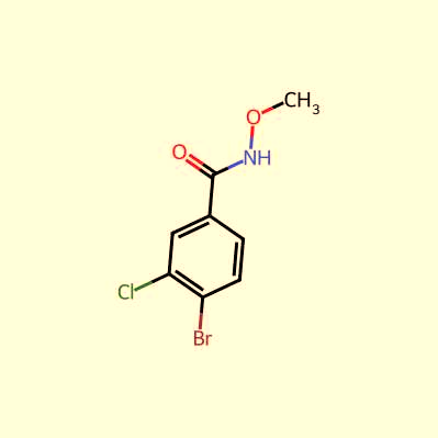 CONC(=O)c1ccc(Br)c(Cl)c1